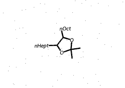 [CH2]CCCCCCC1OC(C)(C)OC1CCCCCCCC